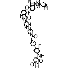 N#Cc1c(NS(=O)(=O)N2CC3C[C@@H]3C2)ccc(F)c1Oc1ccc2ncn(-c3cnc(N4CCN(C(=O)CN5CCC(c6ccc(N[C@H]7CCC(=O)NC7=O)cc6F)CC5)CC4)nc3)c(=O)c2c1